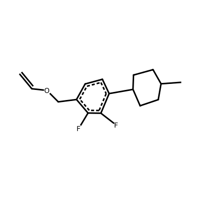 C=COCc1ccc(C2CCC(C)CC2)c(F)c1F